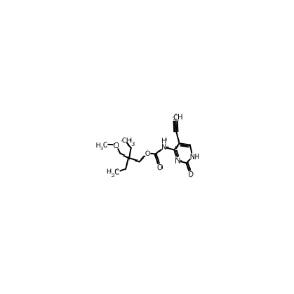 C#Cc1c[nH]c(=O)nc1NC(=O)OCC(CC)(CC)COC